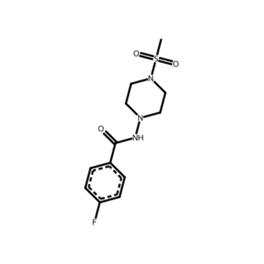 CS(=O)(=O)N1CCN(NC(=O)c2ccc(F)cc2)CC1